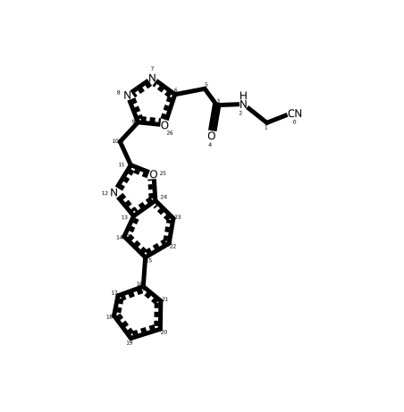 N#CCNC(=O)Cc1nnc(Cc2nc3cc(-c4ccccc4)ccc3o2)o1